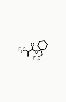 C=C(C(=O)OC1(CC(F)(F)F)CCCCC1)C(F)(F)F